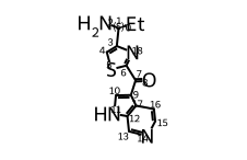 CC[C@H](N)c1csc(C(=O)c2c[nH]c3cnccc23)n1